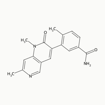 Cc1cc2c(cn1)cc(-c1cc(C(N)=O)ccc1C)c(=O)n2C